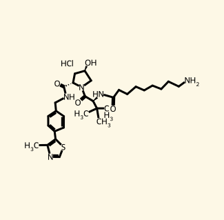 Cc1ncsc1-c1ccc(CNC(=O)[C@@H]2C[C@@H](O)CN2C(=O)[C@@H](NC(=O)CCCCCCCCN)C(C)(C)C)cc1.Cl